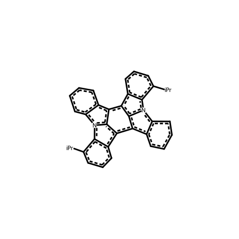 CC(C)c1cccc2c3c4c5ccccc5n5c6c(C(C)C)cccc6c(c6c7ccccc7n(c12)c63)c45